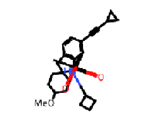 COC1CCC2(CC1)Cc1ccc(C#CC3CC3)cc1C21NC(=O)N(C2CCC2)C1=O